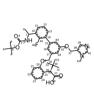 CC(NC(=O)OC(C)(C)C)c1cccc(-c2cc(COc3ccccc3[C@H](C(=O)O)C(C)(C)C)cc(OCc3cncn3C)c2)c1F